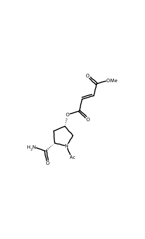 COC(=O)/C=C/C(=O)O[C@H]1C[C@@H](C(N)=O)N(C(C)=O)C1